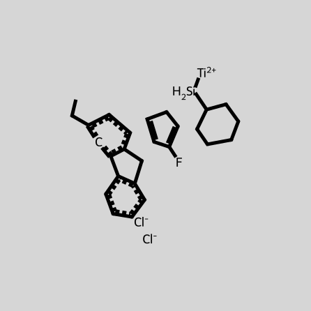 CCc1ccc2c(c1)-c1ccccc1C2.FC1=CCC=C1.[Cl-].[Cl-].[Ti+2][SiH2]C1CCCCC1